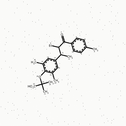 CCC(C(=O)c1ccc(C)cc1)C(C)c1cc(C)c(OC(C)(C)C(=O)O)c(C)c1